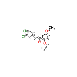 CCOc1ccc(OCC)c(C(=O)C=Cc2ccc(Cl)c(Cl)c2)c1